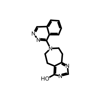 Oc1ncnc2c1CCN(c1nncc3ccccc13)CC2